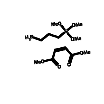 COC(=O)/C=C\C(=O)OC.CO[Si](CCCN)(OC)OC